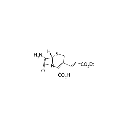 CCOC(=O)/C=C/C1=C(C(=O)O)N2C(=O)C(N)[C@@H]2SC1